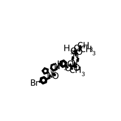 CC(C)(C)OC(=O)N1CCN(C(=O)C(C)(C)Oc2cccc(N3CCC[C@@H](C(=O)N(Cc4ccc(Br)cc4)C4CCCC4)C3)c2)CC1